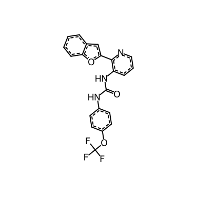 O=C(Nc1ccc(OC(F)(F)F)cc1)Nc1cccnc1-c1cc2ccccc2o1